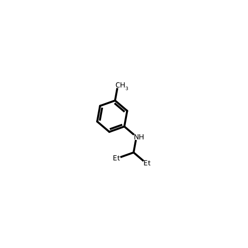 [CH2]CC(CC)Nc1cccc(C)c1